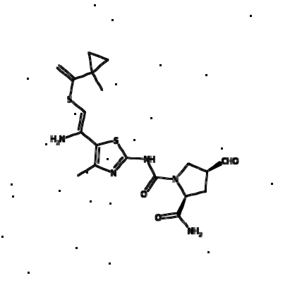 C=C(S/C=C(\N)c1sc(NC(=O)N2C[C@@H](C=O)C[C@H]2C(N)=O)nc1C)C1(C)CC1